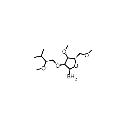 B[C@@H]1O[C@H](COC)C(OC)[C@@H]1OC[C@@H](OC)C(C)C